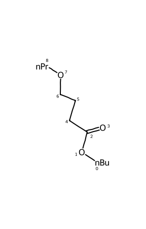 CCCCOC(=O)CCCOCCC